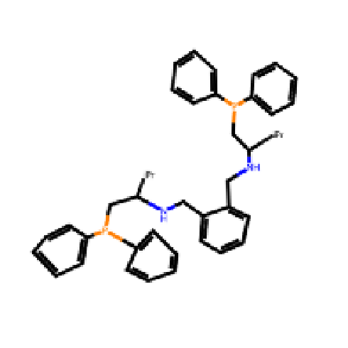 CC(C)C(CP(c1ccccc1)c1ccccc1)NCc1ccccc1CNC(CP(c1ccccc1)c1ccccc1)C(C)C